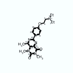 CCN(CC)CCOc1ccc(-c2nc(C)c3c(n2)c(=O)n(C)c(=O)n3C)cc1